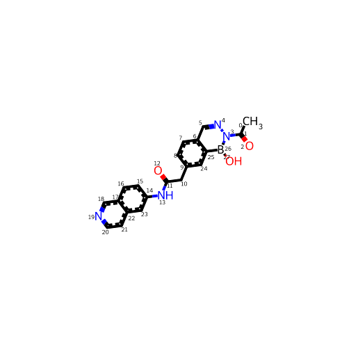 CC(=O)N1N=Cc2ccc(CC(=O)Nc3ccc4cnccc4c3)cc2B1O